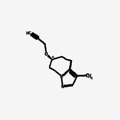 C#CCO[C@H]1CCc2c(C)cnn2C1